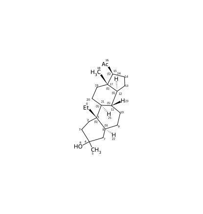 CC[C@]12CCC(C)(O)C[C@@H]1CC[C@H]1[C@@H]3CC[C@H](C(C)=O)[C@@]3(C)CC[C@@H]12